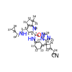 C[C@H](NCc1cc(C(=O)Nc2cccc(C3(c4nncn4C)CC(CC#N)C3)c2)nc2c1CCC2(C)C)C1CC1